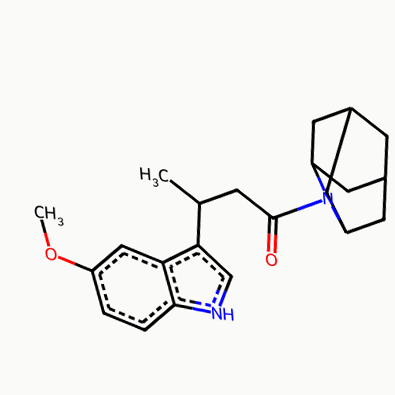 COc1ccc2[nH]cc(C(C)CC(=O)N3C4CC5CC(C4)CC3C5)c2c1